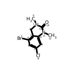 CN1Cc2c(Br)cc(Cl)cc2N(C)C1=O